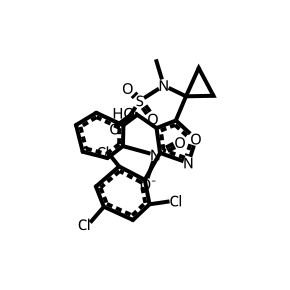 CN(C1(c2onc(-c3c(Cl)cc(Cl)cc3Cl)c2C(=O)O)CC1)S(=O)(=O)c1ccccc1[N+](=O)[O-]